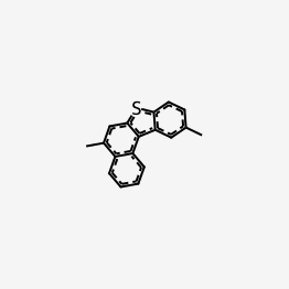 Cc1ccc2sc3cc(C)c4ccccc4c3c2c1